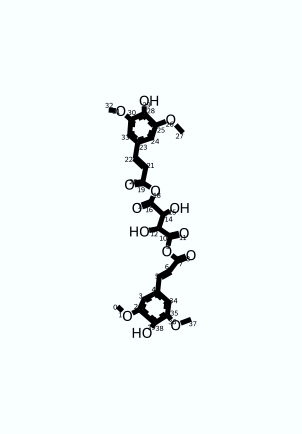 COc1cc(/C=C/C(=O)OC(=O)C(O)C(O)C(=O)OC(=O)/C=C/c2cc(OC)c(O)c(OC)c2)cc(OC)c1O